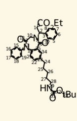 CCOC(=O)CC(c1ccccc1)N1CC(=O)N(c2ccccc2)c2ccc(CCCCCNC(=O)OC(C)(C)C)cc2C1=O